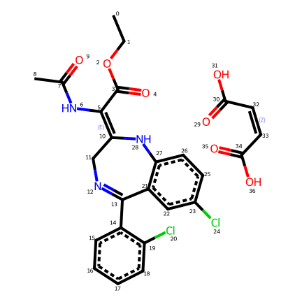 CCOC(=O)/C(NC(C)=O)=C1/CN=C(c2ccccc2Cl)c2cc(Cl)ccc2N1.O=C(O)/C=C\C(=O)O